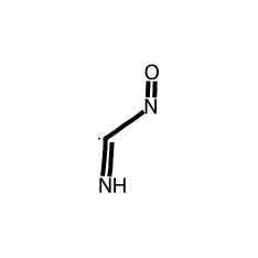 N=[C]N=O